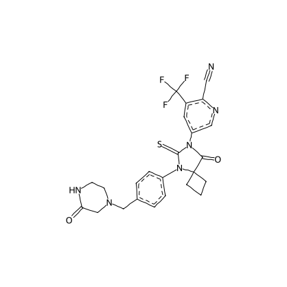 N#Cc1ncc(N2C(=O)C3(CCC3)N(c3ccc(CN4CCNC(=O)C4)cc3)C2=S)cc1C(F)(F)F